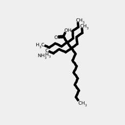 CCCCCCCCCC(CCCC)(CCCC)C(CCCC)(CCCC)C(=O)O.N